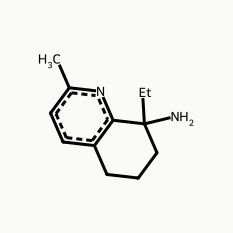 CCC1(N)CCCc2ccc(C)nc21